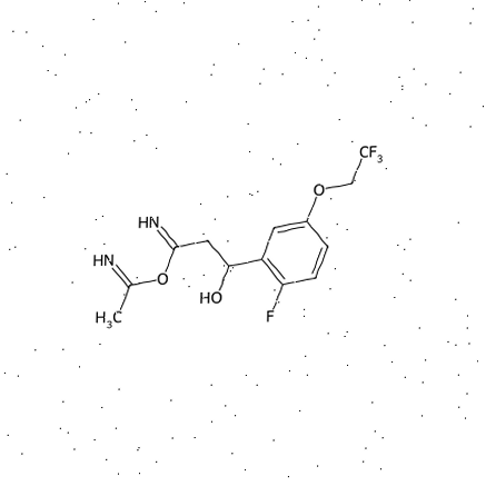 CC(=N)OC(=N)CC(O)c1cc(OCC(F)(F)F)ccc1F